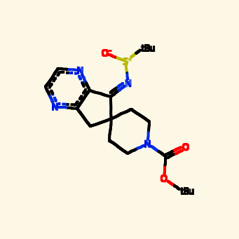 CC(C)(C)OC(=O)N1CCC2(CC1)Cc1nccnc1/C2=N\[S+]([O-])C(C)(C)C